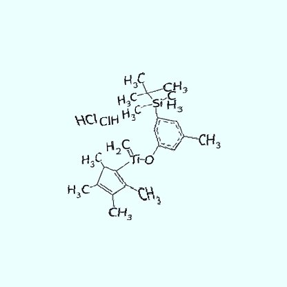 Cl.Cl.[CH2]=[Ti]([O]c1cc(C)cc([Si](C)(C)C(C)(C)C)c1)[C]1=C(C)C(C)=C(C)C1C